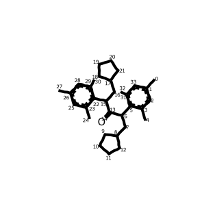 Cc1cc(C)c(C(CC2CCCC2)C(=O)C(CC2CCCC2)c2c(C)cc(C)cc2C)c(C)c1